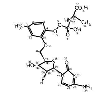 Cc1ccc(OOP(=O)(O)NC(C)C(=O)O)c(OC[C@H]2S[C@@H](n3ccc(N)nc3=O)[C@@H](F)[C@@H]2O)c1